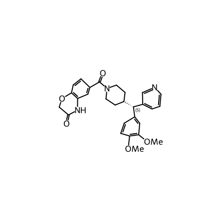 COc1ccc([C@@H](c2cccnc2)C2CCN(C(=O)c3ccc4c(c3)NC(=O)CO4)CC2)cc1OC